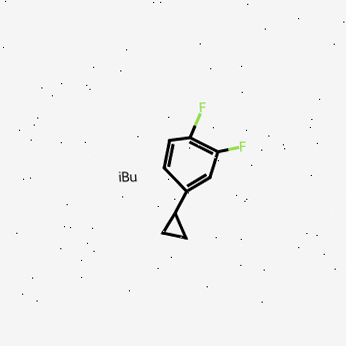 CC[C@H](C)c1cc(F)c(F)cc1C1CC1